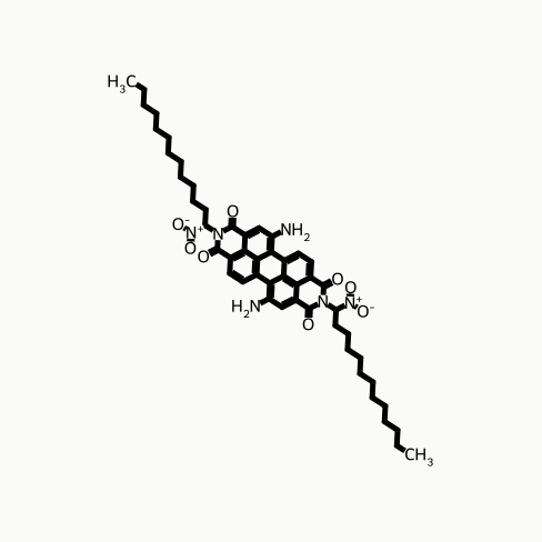 CCCCCCCCCCCCC(N1C(=O)c2ccc3c4c(N)cc5c6c(ccc(c7c(N)cc(c2c37)C1=O)c64)C(=O)N(C(CCCCCCCCCCCC)[N+](=O)[O-])C5=O)[N+](=O)[O-]